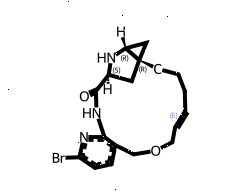 O=C1Nc2nc(Br)ccc2COC/C=C/CCC[C@@]23C[C@@H]1N[C@@H]2C3